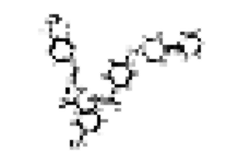 COc1ccc(C=NNC(=O)c2cc(Br)ccc2NC(=O)c2ccc(CN3CCN(c4ccccn4)CC3)cc2)cc1